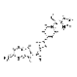 Cc1c(C(=O)N2CC(N3CCN(C(=O)c4cscn4)CC3)C2)sc2ccc(C(F)(F)F)cc12